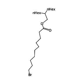 CCCCCCC(CCCCCC)COC(=O)CCCCCCCCCBr